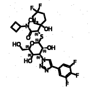 CN(C(=O)[C@@H](S[C@@H]1O[C@H](CO)[C@H](O)[C@H](n2cc(-c3cc(F)c(F)c(F)c3)nn2)[C@H]1O)C1(O)CCC(F)(F)CC1)C1CCC1